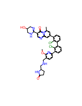 COc1nc(-c2cccc(-c3cccc(-c4cc(C)n5c(=O)c(C6=NCC(O)CN6)cnc5c4)c3Cl)c2Cl)ccc1CNCC1CCC(=O)N1